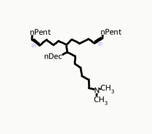 CCCCC/C=C\CCCC(CCC/C=C\CCCCC)C(CCCCCCCCCC)CCCCCCN(C)C